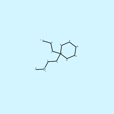 [CH2]OCCC1(CCI)CCCCC1